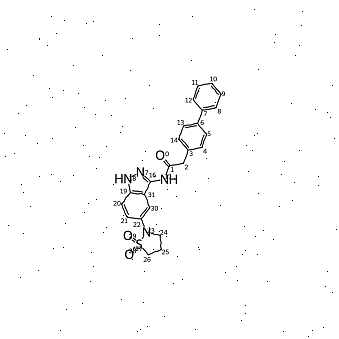 O=C(Cc1ccc(-c2ccccc2)cc1)Nc1n[nH]c2ccc(N3CCCS3(=O)=O)cc12